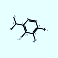 CC(C)c1ccc(F)c(F)c1I